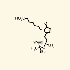 CCCCC[C@@](C)(CCC1=CCC(=O)[C@@H]1CCCCCCC(=O)O)O[Si](C)(C)C(C)(C)C